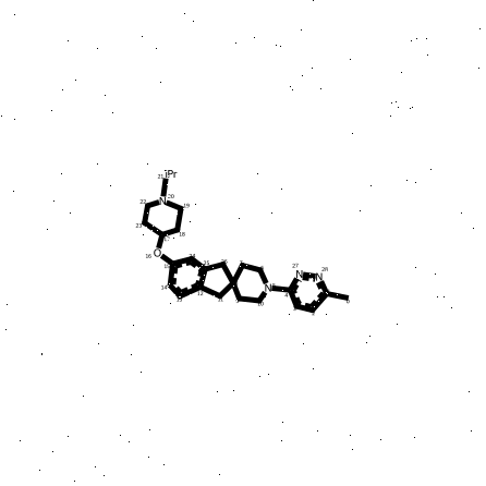 Cc1ccc(N2CCC3(CC2)Cc2ccc(OC4CCN(C(C)C)CC4)cc2C3)nn1